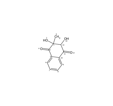 CC1(O)C(=O)c2ccccc2C(=O)C1O